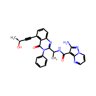 CC(NC(=O)c1c(N)nn2cccnc12)c1nc2cccc(C#C[C@H](C)O)c2c(=O)n1-c1ccccc1